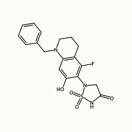 O=C1CN(c2c(O)cc3c(c2F)CCCN3Cc2ccccc2)S(=O)(=O)N1